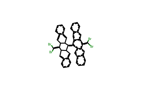 BrC(Br)=C1C2C=c3ccccc3=CC2C(=c2c3cc4ccccc4cc3c(=C(Br)Br)c3cc4ccccc4cc23)C2C=c3ccccc3=CC12